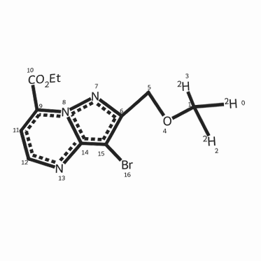 [2H]C([2H])([2H])OCc1nn2c(C(=O)OCC)ccnc2c1Br